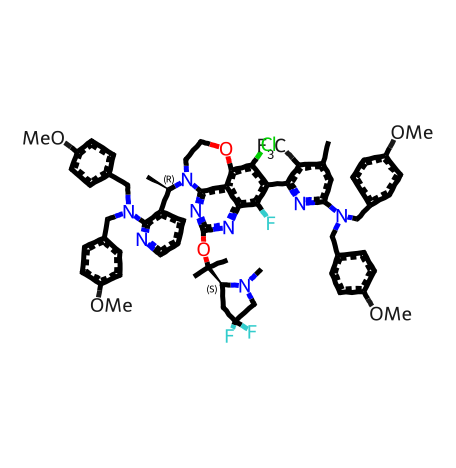 COc1ccc(CN(Cc2ccc(OC)cc2)c2cc(C)c(C(F)(F)F)c(-c3c(Cl)c4c5c(nc(OC(C)(C)[C@@H]6CC(F)(F)CN6C)nc5c3F)N([C@H](C)c3cccnc3N(Cc3ccc(OC)cc3)Cc3ccc(OC)cc3)CCO4)n2)cc1